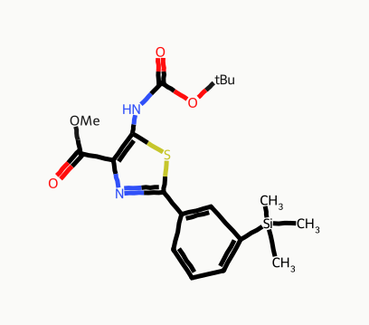 COC(=O)c1nc(-c2cccc([Si](C)(C)C)c2)sc1NC(=O)OC(C)(C)C